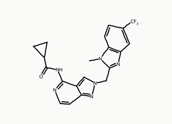 Cn1c(Cn2cc3c(NC(=O)C4CC4)nccc3n2)nc2cc(C(F)(F)F)ccc21